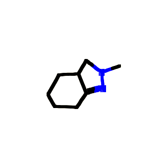 CN1CC2CCCCC2=N1